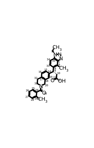 CCn1nnc2c(C)c([C@H](CC(=O)O)c3ccc4c(c3)CN(C(=O)c3ccccc3C)CC4)ccc21